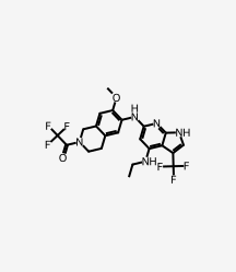 CCNc1cc(Nc2cc3c(cc2OC)CN(C(=O)C(F)(F)F)CC3)nc2[nH]cc(C(F)(F)F)c12